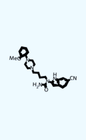 COc1ccccc1N1CCN(CCCCN(C(N)=O)c2cc3ccc(C#N)cc3[nH]2)CC1